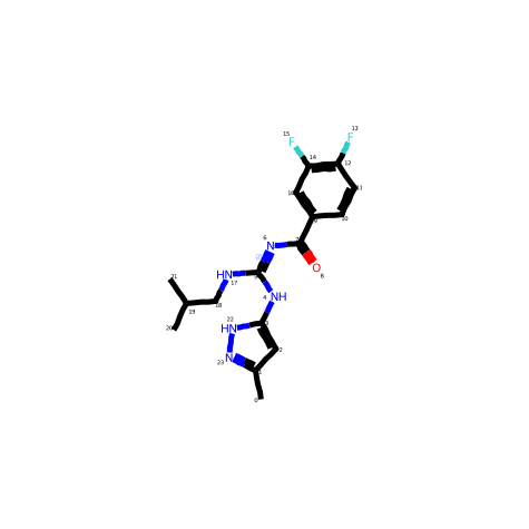 Cc1cc(N/C(=N\C(=O)c2ccc(F)c(F)c2)NCC(C)C)[nH]n1